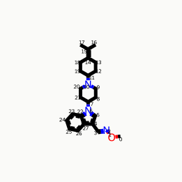 CON=Cc1cn(C2CCN(C3CCC(=C(C)C)CC3)CC2)c2ccccc12